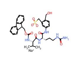 CC(C)[C@H](NC(=O)OCC1c2ccccc2-c2ccccc21)C(=O)N[C@@H](CCCNC(N)=O)C(=O)Nc1ccc(CO)c(CS(=O)(=O)[O-])c1.[Na+]